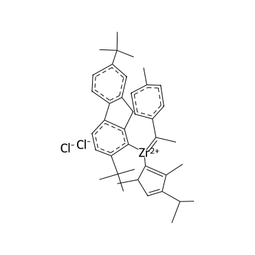 CC1=[C](/[Zr+2](=[C](\C)c2ccc(C)cc2)[c]2c(C(C)(C)C)ccc3c2Cc2cc(C(C)(C)C)ccc2-3)C(C)C=C1C(C)C.[Cl-].[Cl-]